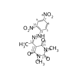 CC(=NNc1ccc([N+](=O)[O-])cc1[N+](=O)[O-])C1C(=O)N(C)C(=O)N(C)C1=O